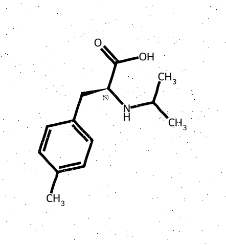 Cc1ccc(C[C@H](NC(C)C)C(=O)O)cc1